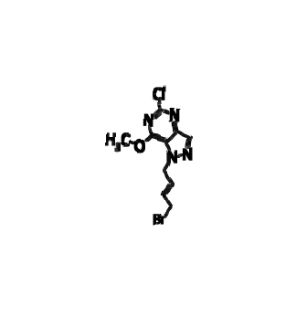 COc1nc(Cl)nc2cnn(C/C=C/CBr)c12